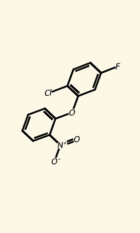 O=[N+]([O-])c1ccccc1Oc1cc(F)ccc1Cl